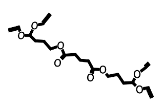 C=COC(CCCOC(=O)CCCC(=O)OCCCC(OC=C)OC=C)OC=C